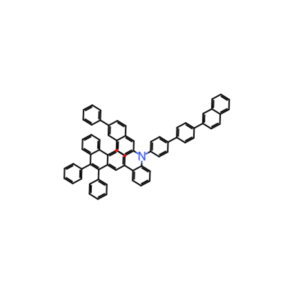 c1ccc(-c2ccc3cc(N(c4ccc(-c5ccc(-c6ccc7ccccc7c6)cc5)cc4)c4ccccc4-c4ccc5c(c4)c(-c4ccccc4)c(-c4ccccc4)c4ccccc45)ccc3c2)cc1